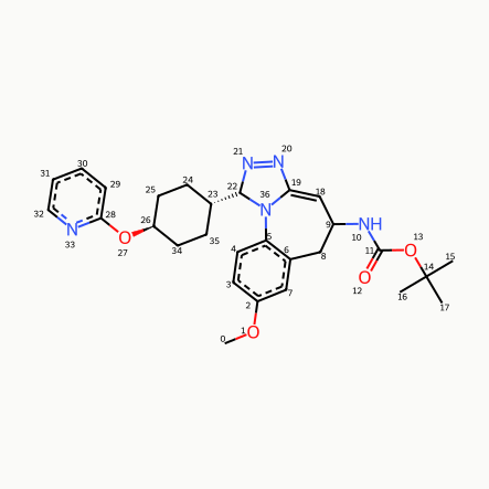 COc1ccc2c(c1)CC(NC(=O)OC(C)(C)C)C=C1N=NC([C@H]3CC[C@H](Oc4ccccn4)CC3)N12